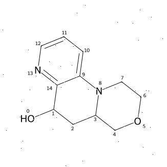 OC1CC2COCCN2c2cccnc21